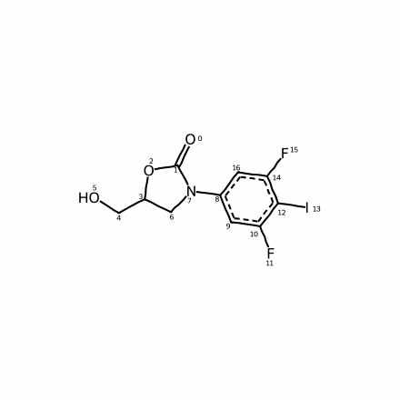 O=C1OC(CO)CN1c1cc(F)c(I)c(F)c1